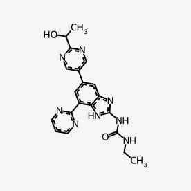 CCNC(=O)Nc1nc2cc(-c3cnc(C(C)O)nc3)cc(-c3ncccn3)c2[nH]1